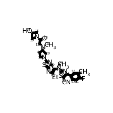 CCc1nc2sc(N3CCC(N(C)CC(=O)N4CC(O)C4)C3)nn2c1N(C)c1nc(-c2ccc(F)c(C)c2)c(C#N)s1